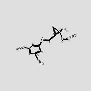 COc1cc(OCC2CC2(C)OC=O)cc([N+](=O)[O-])c1